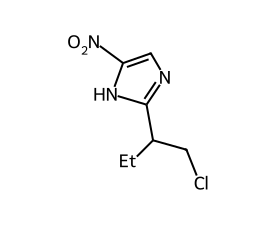 CCC(CCl)c1ncc([N+](=O)[O-])[nH]1